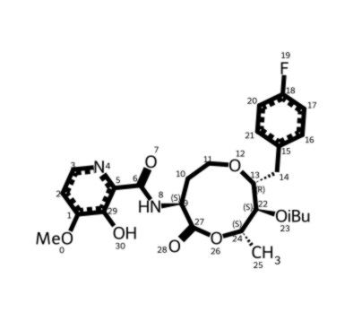 COc1ccnc(C(=O)N[C@H]2CCO[C@H](Cc3ccc(F)cc3)[C@@H](OCC(C)C)[C@H](C)OC2=O)c1O